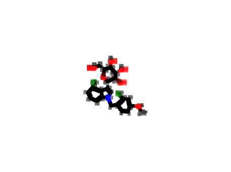 CC(C)Oc1ccc(Cn2cc([C@@H]3O[C@H](CO)[C@@H](O)[C@H](O)[C@H]3O)c3c(Cl)cccc32)c(F)c1